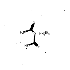 N.N.O=C(S)OC(=O)S